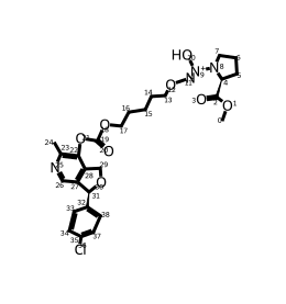 COC(=O)[C@@H]1CCCN1/[N+](O)=N/OCCCCCOC(=O)Oc1c(C)ncc2c1CO[C@H]2c1ccc(Cl)cc1